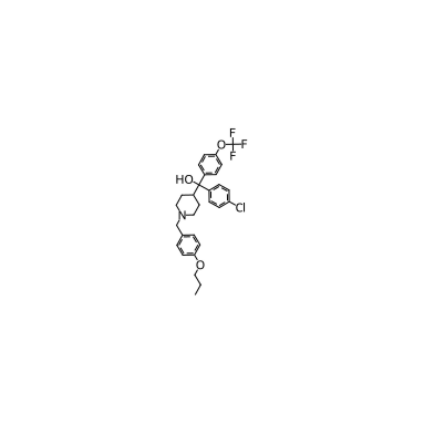 CCCOc1ccc(CN2CCC(C(O)(c3ccc(Cl)cc3)c3ccc(OC(F)(F)F)cc3)CC2)cc1